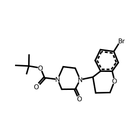 CC(C)(C)OC(=O)N1CCN(C2CCOc3cc(Br)ccc32)C(=O)C1